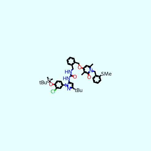 CSc1ccccc1Cn1c(C)cc(OCc2ccccc2CNC(=O)Nc2cc(C(C)(C)C)nn2-c2ccc(O[Si](C)(C)C(C)(C)C)c(Cl)c2)c(C)c1=O